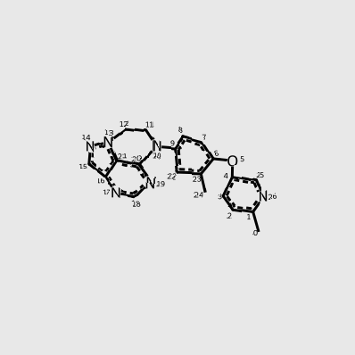 Cc1ccc(Oc2ccc(N3CCn4ncc5ncnc3c54)cc2C)cn1